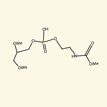 COCC(COP(=O)(O)OCCNC(=O)OC)OC